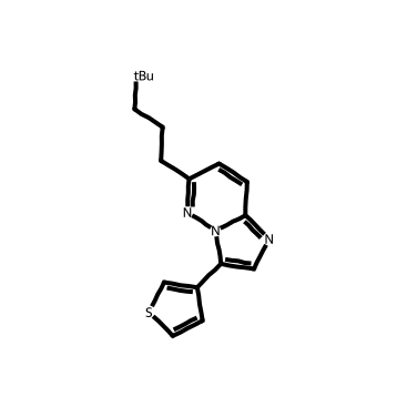 CC(C)(C)CCCc1ccc2ncc(-c3ccsc3)n2n1